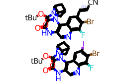 CC(C)(C)OC(=O)N1CC2CC1C2N1CC(=O)Nc2cnc3c(F)c(Br)c(/C=C/C#N)cc3c21.CC(C)(C)OC(=O)N1CC2CC1C2N1CC(=O)Nc2cnc3c(F)c(Br)c(I)cc3c21